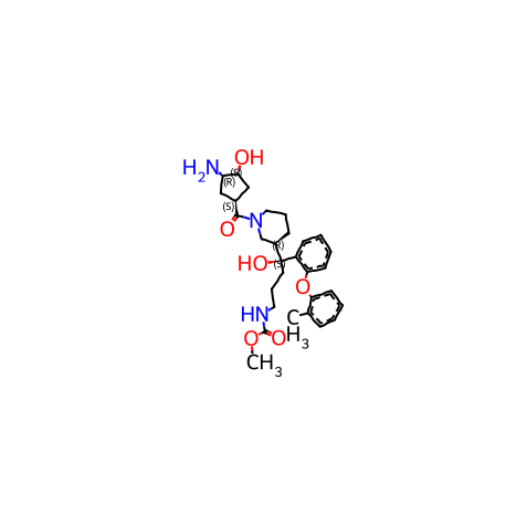 COC(=O)NCCC[C@@](O)(c1ccccc1Oc1ccccc1C)[C@@H]1CCCN(C(=O)[C@H]2C[C@@H](N)[C@@H](O)C2)C1